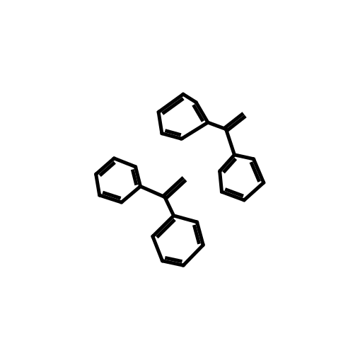 C=C(c1ccccc1)c1ccccc1.C=C(c1ccccc1)c1ccccc1